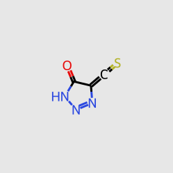 O=C1NN=NC1=C=S